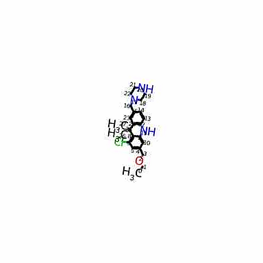 CCOCc1cc(Cl)c2c(c1)Nc1ccc(CN3CCNCC3)cc1C2(C)C